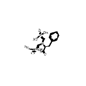 NC(=O)[C@H](Cc1ccccc1)N(CP(=O)(O)O)CP(=O)(O)O